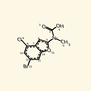 CN(C(=O)O)c1cc2c(Cl)cc(Br)cc2o1